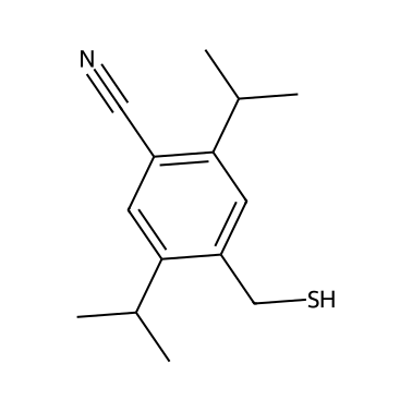 CC(C)c1cc(CS)c(C(C)C)cc1C#N